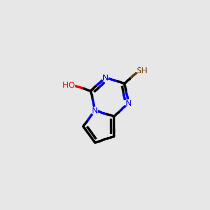 Oc1nc(S)nc2cccn12